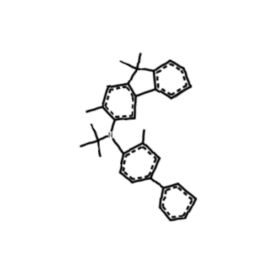 Cc1cc(-c2ccccc2)ccc1N(c1cc2c(cc1C)C(C)(C)c1ccccc1-2)C(C)(C)C